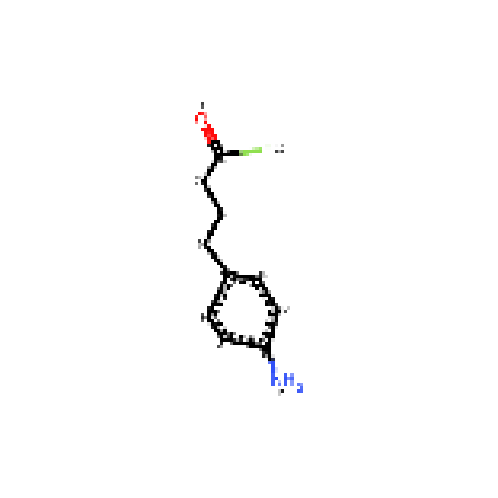 Nc1ccc(CCCC(=O)F)cc1